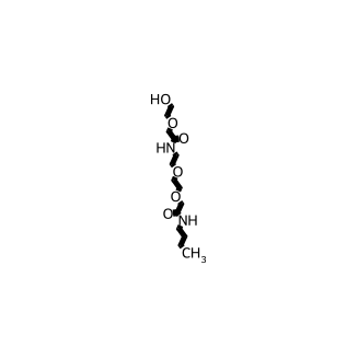 CCCCNC(=O)COCCOCCNC(=O)COCCO